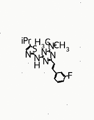 CC(C)c1cnc(Nc2nc(/C=C/c3cccc(F)c3)nc(N(C)C)n2)s1